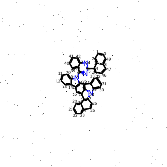 c1ccc2c(-c3nc(-n4c5ccccc5c5cc6c7c8ccccc8ccc7n7c8ccccc8c(c54)c67)c4ccccc4n3)cccc2c1